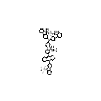 CC1(C)c2ccccc2-c2ccc(-c3c4ccccc4c(-c4ccc5c(c4)C(C)(C)c4cc(N(c6ccc7c(c6)C(C)(C)c6ccccc6-7)c6ccc7c(c6)C(C)(C)c6ccccc6-7)ccc4-5)c4ccccc34)cc21